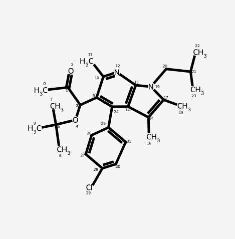 CC(=O)C(OC(C)(C)C)c1c(C)nc2c(c(C)c(C)n2CC(C)C)c1-c1ccc(Cl)cc1